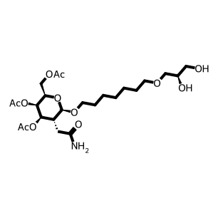 CC(=O)OC[C@H]1O[C@@H](OCCCCCCCOC[C@H](O)CO)[C@H](CC(N)=O)[C@@H](OC(C)=O)[C@H]1OC(C)=O